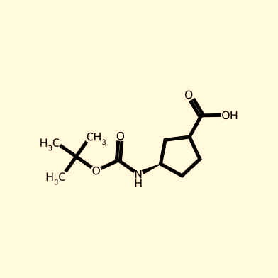 CC(C)(C)OC(=O)N[C@@H]1CCC(C(=O)O)C1